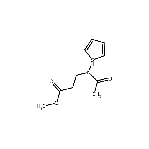 COC(=O)CCN(C(C)=O)[SH]1C=CC=C1